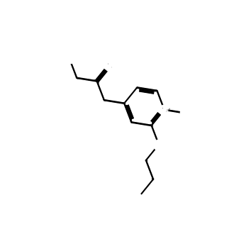 CCCOc1cc(CC(=N)CO)cc[n+]1[O-]